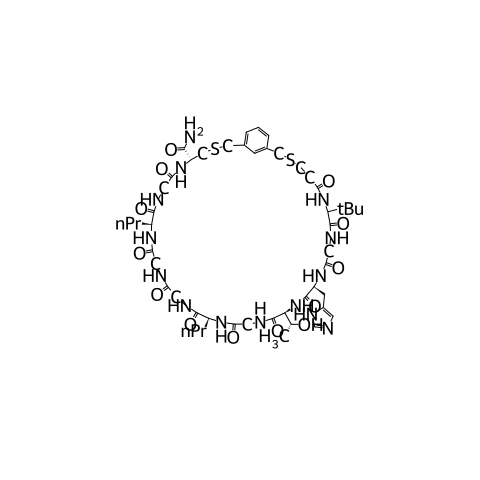 CCC[C@@H]1NC(=O)CNC(=O)CNC(=O)[C@H](CCC)NC(=O)CNC(=O)[C@H]([C@@H](C)O)NC(=O)[C@H](Cc2cnc[nH]2)NC(=O)CNC(=O)C(C(C)(C)C)NC(=O)CCSCc2cccc(c2)CSC[C@@H](C(N)=O)NC(=O)CNC1=O